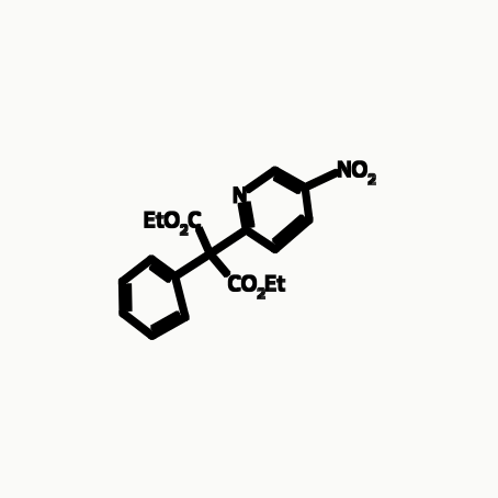 CCOC(=O)C(C(=O)OCC)(c1ccccc1)c1ccc([N+](=O)[O-])cn1